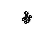 CC1(C)CCC(C)(C)c2cc(-c3cc4ccccc4c4c3Bc3cccc5c3N4c3ccccc3C5(C)C)c(Nc3ccccc3)cc21